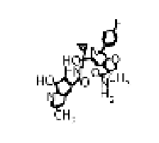 Cc1cnc2c(O)cc(C(=O)NC[C@](O)(c3cc4c(c(-c5ccc(F)cc5)n3)OC[C@]4(C)C(N)=O)C3CC3)cc2c1